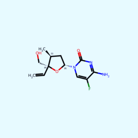 C=C[C@]1(CO)O[C@@H](n2cc(F)c(N)nc2=O)C[C@@H]1C